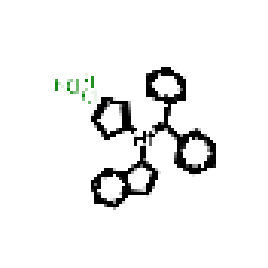 C1=CC[C]([Hf](=[C](c2ccccc2)c2ccccc2)[CH]2C=Cc3ccccc32)=C1.Cl.Cl